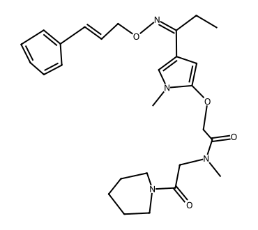 CCC(=NOCC=Cc1ccccc1)c1cc(OCC(=O)N(C)CC(=O)N2CCCCC2)n(C)c1